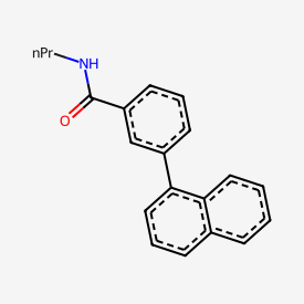 CCCNC(=O)c1cccc(-c2cccc3ccccc23)c1